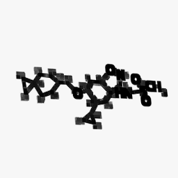 CS(=O)(=O)Nc1noc2cc(OCC3CCC4(CC3)CC4)c(C3CC3)cc12